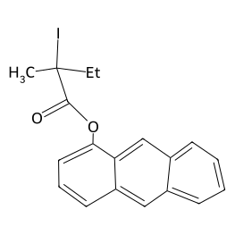 CCC(C)(I)C(=O)Oc1cccc2cc3ccccc3cc12